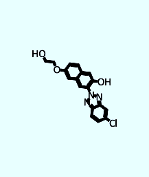 OCCOc1ccc2cc(O)c(-n3nc4ccc(Cl)cc4n3)cc2c1